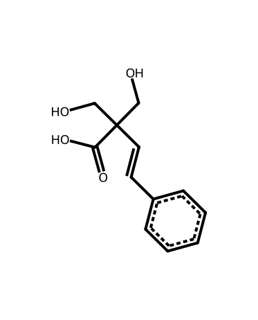 O=C(O)C(C=Cc1ccccc1)(CO)CO